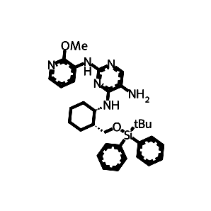 COc1ncccc1Nc1ncc(N)c(N[C@H]2CCCC[C@H]2CO[Si](c2ccccc2)(c2ccccc2)C(C)(C)C)n1